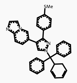 CSc1ccc(-c2nn(C(c3ccccc3)(c3ccccc3)C3C=CC=CC3)cc2-c2ccc3nccn3c2)cc1